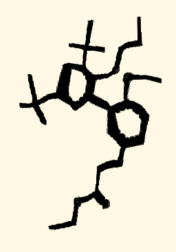 CCCOc1c(-c2cc(C=CC(=O)OCC)ccc2OC)cc(C(C)(C)C)cc1C(C)(C)C